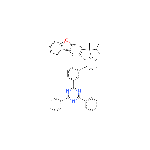 CC(C)C1(C)c2cc3oc4ccccc4c3cc2-c2c(-c3cccc(-c4nc(-c5ccccc5)nc(-c5ccccc5)n4)c3)cccc21